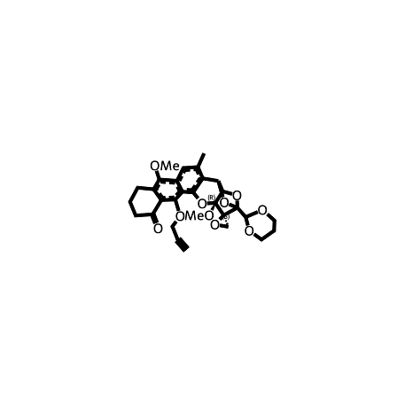 C#CCOc1c2c(c(OC)c3cc(C)c4c(c13)O[C@]1(OC)C3OC(C5OCCCO5)(OC43)[C@]13CO3)CCCC2=O